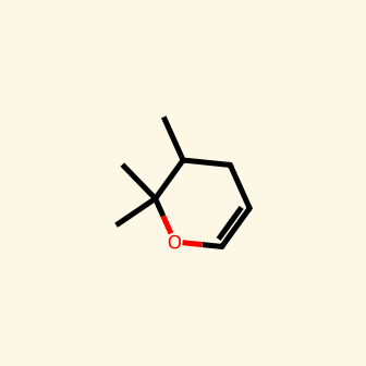 CC1CC=COC1(C)C